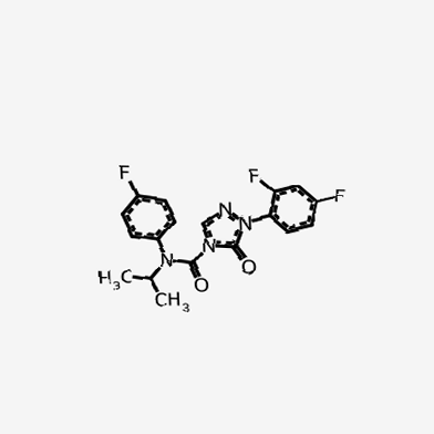 CC(C)N(C(=O)n1cnn(-c2ccc(F)cc2F)c1=O)c1ccc(F)cc1